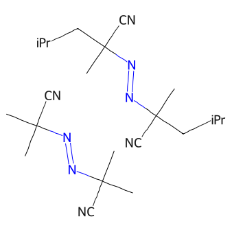 CC(C)(C#N)/N=N/C(C)(C)C#N.CC(C)CC(C)(C#N)/N=N/C(C)(C#N)CC(C)C